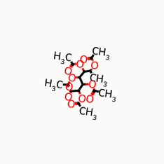 CC(=O)OC(C)C(OC(C)=O)C(OC(C)=O)C(OC(C)=O)C(C=O)OC(C)=O